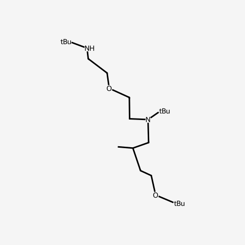 CC(CCOC(C)(C)C)CN(CCOCCNC(C)(C)C)C(C)(C)C